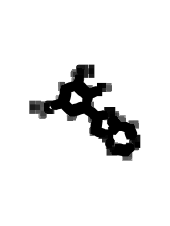 Cc1cc(S)c(F)c(-c2cn3ncncc3n2)c1